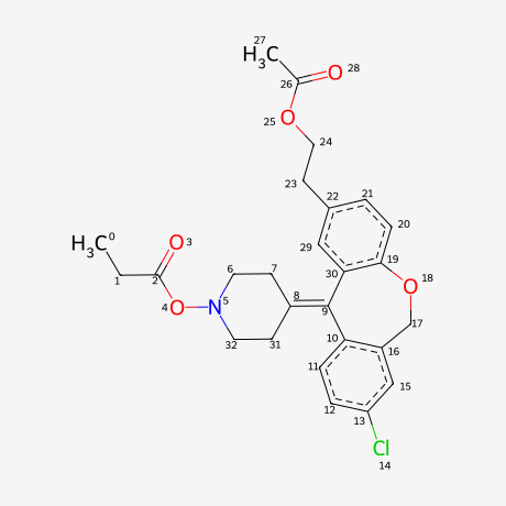 CCC(=O)ON1CCC(=C2c3ccc(Cl)cc3COc3ccc(CCOC(C)=O)cc32)CC1